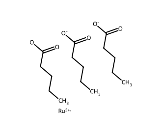 CCCCC(=O)[O-].CCCCC(=O)[O-].CCCCC(=O)[O-].[Ru+3]